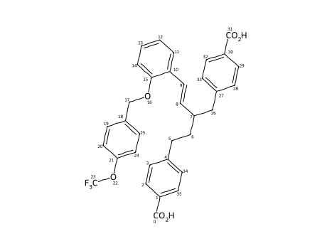 O=C(O)c1ccc(CCC(/C=C/c2ccccc2OCc2ccc(OC(F)(F)F)cc2)Cc2ccc(C(=O)O)cc2)cc1